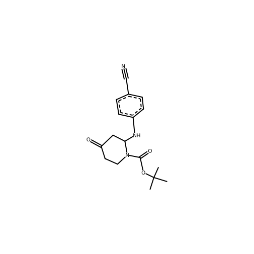 CC(C)(C)OC(=O)N1CCC(=O)CC1Nc1ccc(C#N)cc1